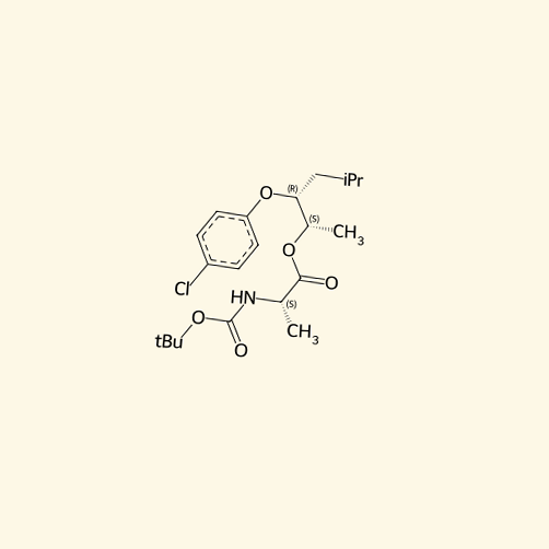 CC(C)C[C@@H](Oc1ccc(Cl)cc1)[C@H](C)OC(=O)[C@H](C)NC(=O)OC(C)(C)C